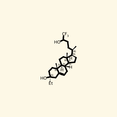 CC[C@]1(O)CC[C@@]2(C)C(=CC[C@H]3[C@@H]4CC[C@H]([C@H](C)CCC(O)C(F)(F)F)[C@@]4(C)CC[C@@H]32)C1